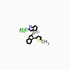 CC1=NC2=CC=CC2=C1.Cc1ccc(C2[C]([Zr+2])=Cc3ccccc32)s1.[Cl-].[Cl-]